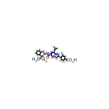 C/C=C(/C)c1ccccc1CCNC(=O)c1cc(C2CC2)c2nc(-c3ccc(C(=O)O)cc3F)cn2c1